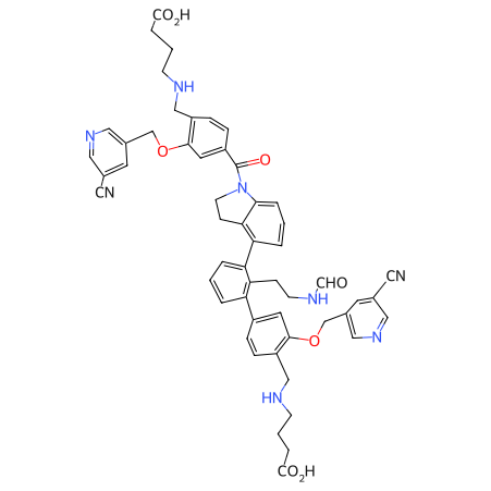 N#Cc1cncc(COc2cc(C(=O)N3CCc4c(-c5cccc(-c6ccc(CNCCCC(=O)O)c(OCc7cncc(C#N)c7)c6)c5CCNC=O)cccc43)ccc2CNCCCC(=O)O)c1